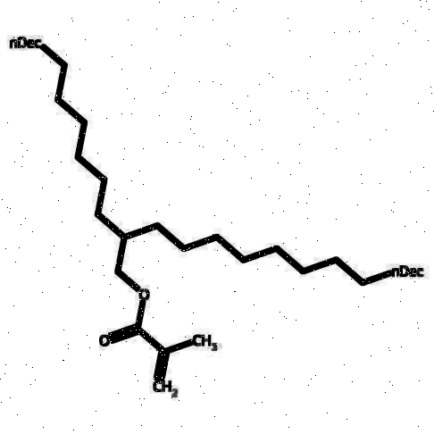 C=C(C)C(=O)OCC(CCCCCCCCCCCCCCCC)CCCCCCCCCCCCCCCCCC